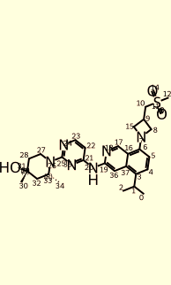 CC(C)c1ccc(N2CC(CS(C)(=O)=O)C2)c2cnc(Nc3ccnc(N4CC[C@@](C)(O)C[C@H]4C)n3)cc12